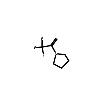 C=C(N1CCCC1)C(F)(F)F